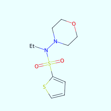 CCN(N1CCOCC1)S(=O)(=O)c1cccs1